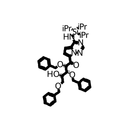 CC(C)[Si](Nc1ncnn2c(C(=O)[C@H](OCc3ccccc3)[C@H](OCc3ccccc3)[C@H](O)COCc3ccccc3)ccc12)(C(C)C)C(C)C